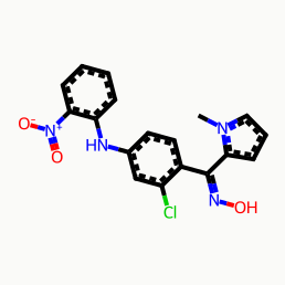 Cn1cccc1C(=NO)c1ccc(Nc2ccccc2[N+](=O)[O-])cc1Cl